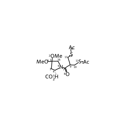 COC1(OC)C[C@@H](C(=O)O)N(C(=O)C(CSC(C)=O)CSC(C)=O)C1